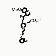 COc1ccc2nccc([C@H](F)CC[C@@H]3CCN(CCCSc4cccc(F)c4)C[C@H]3CCC(=O)O)c2c1